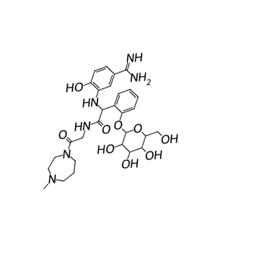 CN1CCCN(C(=O)CNC(=O)C(Nc2cc(C(=N)N)ccc2O)c2ccccc2OC2OC(CO)C(O)C(O)C2O)CC1